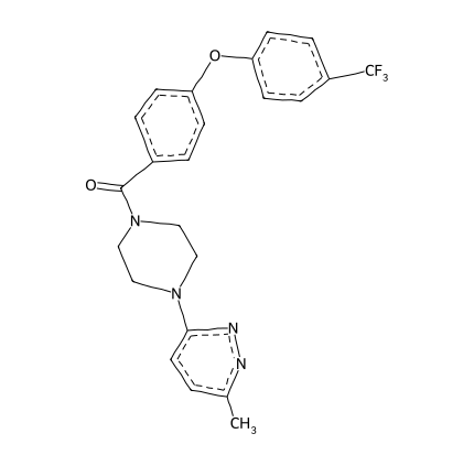 Cc1ccc(N2CCN(C(=O)c3ccc(Oc4ccc(C(F)(F)F)cc4)cc3)CC2)nn1